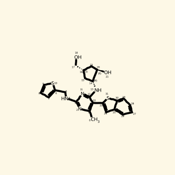 Cc1nc(NCc2cccs2)nc(N[C@@H]2C[C@H](CO)C[C@H]2O)c1-c1cc2ccccc2s1